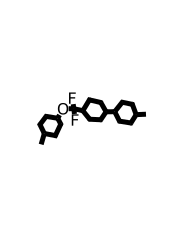 CC1CCC(OC(F)(F)C2CCC(C3CCC(C)CC3)CC2)CC1